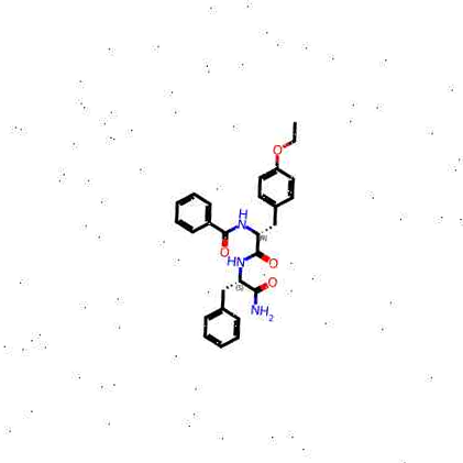 CCOc1ccc(C[C@@H](NC(=O)c2ccccc2)C(=O)N[C@@H](Cc2ccccc2)C(N)=O)cc1